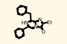 CCc1nc2c(Cc3ccccc3)[nH]c(-c3ccccc3)cn-2c1=O